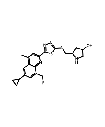 Cc1cc(-c2nnc(NCC3CC(O)CN3)s2)nc2c(CF)cc(C3CC3)cc12